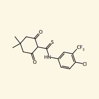 CC1(C)CC(=O)C(C(=S)Nc2ccc(Cl)c(C(F)(F)F)c2)C(=O)C1